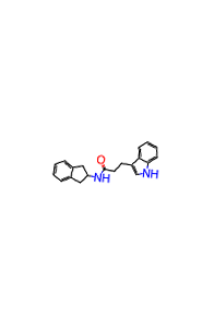 O=C(CCc1c[nH]c2ccccc12)NC1Cc2ccccc2C1